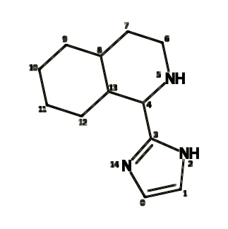 c1c[nH]c(C2NCCC3CCCCC32)n1